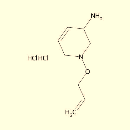 C=CCON1CC=CC(N)C1.Cl.Cl